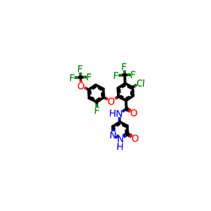 O=C(Nc1cn[nH]c(=O)c1)c1cc(Cl)c(C(F)(F)F)cc1Oc1ccc(OC(F)(F)F)cc1F